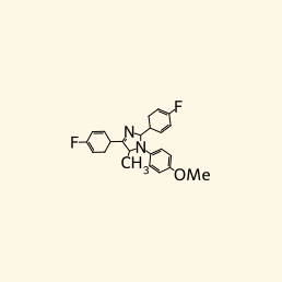 COc1ccc(N2C(C)C(C3C=CC(F)=CC3)=NC2C2C=CC(F)=CC2)cc1